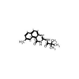 Cc1ccc2ccc3nc(NC(=O)C(C)(C)C)[nH]c(=O)c3c2c1